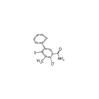 Cc1c(F)c(-c2ccccc2)cc(C(N)=O)c1Cl